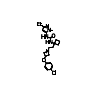 CCc1cc(NC(=O)NC2(CCN3CC(Oc4ccc(Cl)cc4)C3)CCC2)n(C)n1